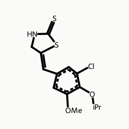 COc1cc(C=C2CNC(=S)S2)cc(Cl)c1OC(C)C